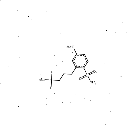 CCCCC(F)(F)CCCc1cc(OC)ccc1S(N)(=O)=O